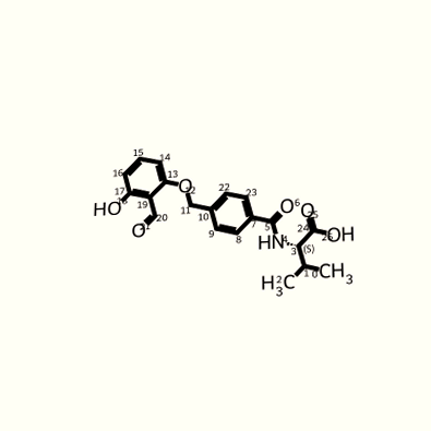 CC(C)[C@H](NC(=O)c1ccc(COc2cccc(O)c2C=O)cc1)C(=O)O